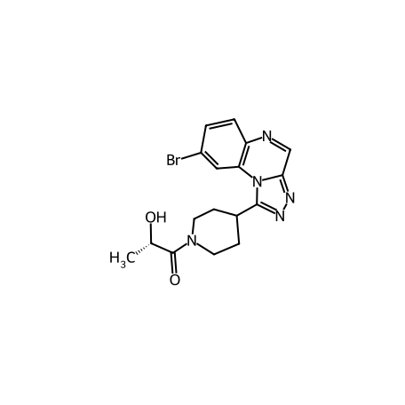 C[C@H](O)C(=O)N1CCC(c2nnc3cnc4ccc(Br)cc4n23)CC1